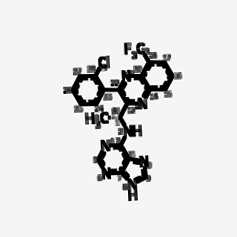 C[C@@H](Nc1ncnc2[nH]cnc12)c1nc2cccc(C(F)(F)F)c2nc1-c1ccccc1Cl